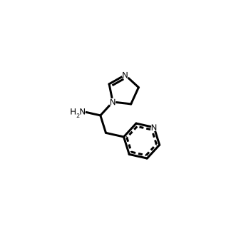 NC(Cc1cccnc1)N1C=NCC1